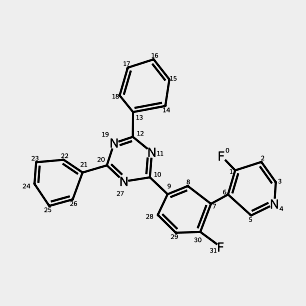 Fc1ccncc1-c1cc(-c2nc(-c3ccccc3)nc(-c3ccccc3)n2)ccc1F